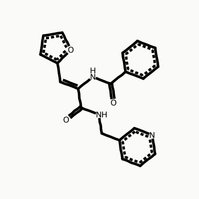 O=C(NCc1cccnc1)/C(=C/c1ccco1)NC(=O)c1ccccc1